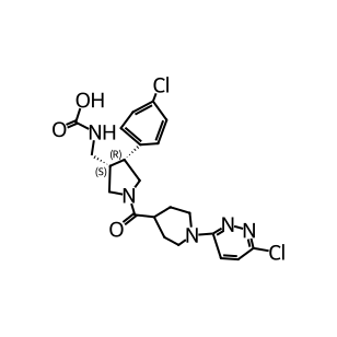 O=C(O)NC[C@H]1CN(C(=O)C2CCN(c3ccc(Cl)nn3)CC2)C[C@H]1c1ccc(Cl)cc1